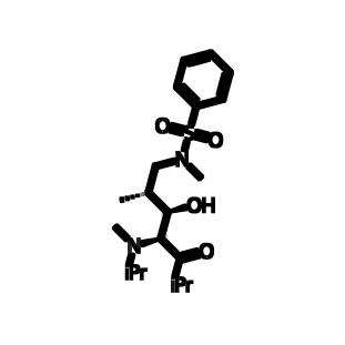 CC(C)C(=O)[C@H]([C@H](O)[C@H](C)CN(C)S(=O)(=O)c1ccccc1)N(C)C(C)C